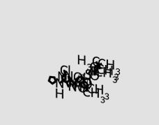 CC(C)(C)OP(C)(=O)CSC[C@H]1O[C@@H](n2ncc3c(NC4CCCC4)nc(Cl)nc32)[C@@H]2OC(C)(C)O[C@@H]21